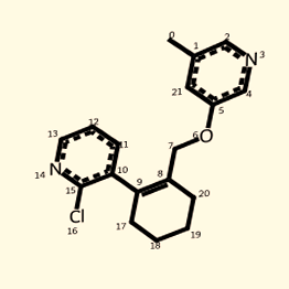 Cc1cncc(OCC2=C(c3cccnc3Cl)CCCC2)c1